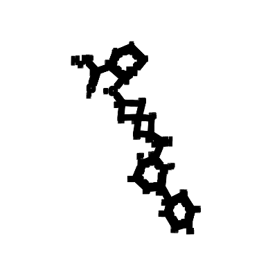 NC(=O)c1cccnc1OC1CC2(CC(Nc3nccc(-c4ccncc4)n3)C2)C1